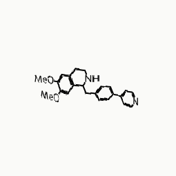 COc1cc2c(cc1OC)C(Cc1ccc(-c3ccncc3)cc1)NCC2